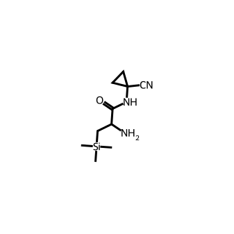 C[Si](C)(C)CC(N)C(=O)NC1(C#N)CC1